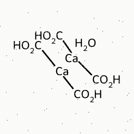 O.O=[C](O)[Ca][C](=O)O.O=[C](O)[Ca][C](=O)O